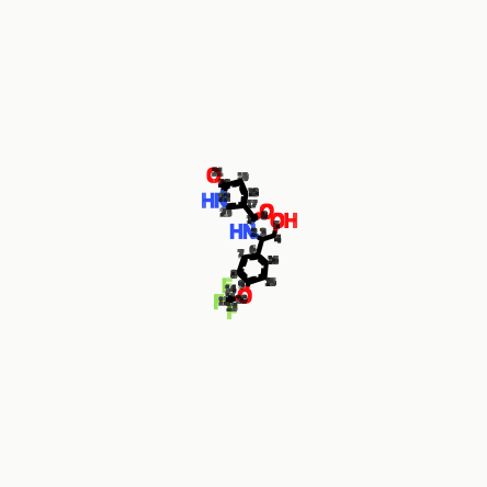 O=C(NC(CO)c1ccc(OC(F)(F)F)cc1)c1ccc(=O)[nH]c1